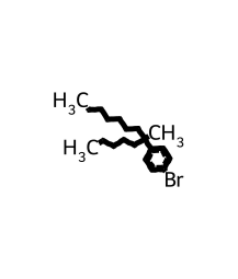 CCCCCCCC(C)(CCCCC)c1ccc(Br)cc1